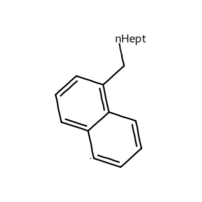 CCCCCCCCc1cccc2[c]cccc12